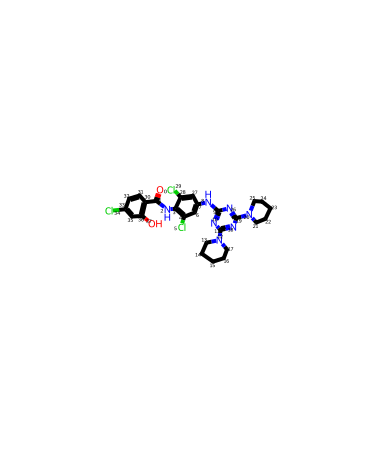 O=C(Nc1c(Cl)cc(Nc2nc(N3CCCCC3)nc(N3CCCCC3)n2)cc1Cl)c1ccc(Cl)cc1O